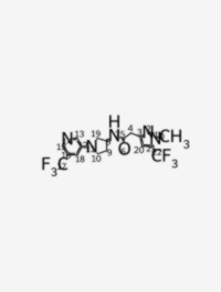 Cn1nc(CC(=O)NC2CCN(c3cncc(C(F)(F)F)c3)C2)cc1C(F)(F)F